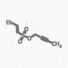 CC#CCOS(=O)(=O)/C=C/CC